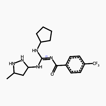 CC1CC(N/C(=N\C(=O)c2ccc(C(F)(F)F)cc2)NC2CCCC2)NN1